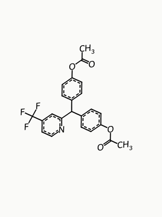 CC(=O)Oc1ccc(C(c2ccc(OC(C)=O)cc2)c2cc(C(F)(F)F)ccn2)cc1